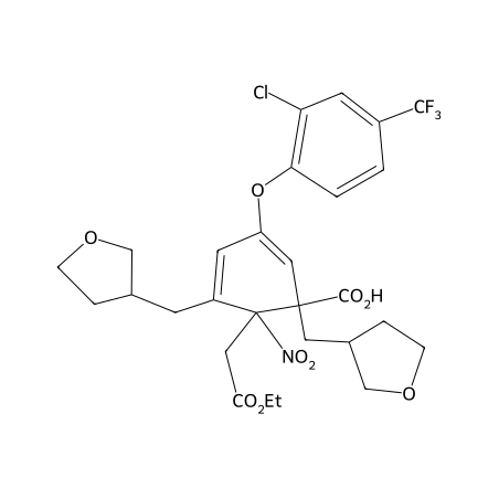 CCOC(=O)CC1([N+](=O)[O-])C(CC2CCOC2)=CC(Oc2ccc(C(F)(F)F)cc2Cl)=CC1(CC1CCOC1)C(=O)O